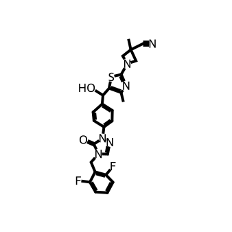 Cc1nc(N2CC(C)(C#N)C2)sc1C(O)c1ccc(-n2ncn(Cc3c(F)cccc3F)c2=O)cc1